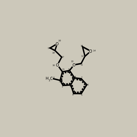 Cc1cc2ccccc2c(OCC2CO2)c1OCC1CO1